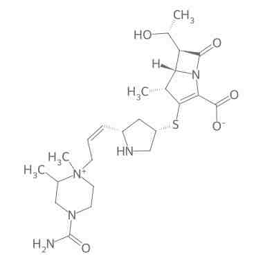 CC1CN(C(N)=O)CC[N+]1(C)C/C=C\[C@@H]1C[C@H](SC2=C(C(=O)[O-])N3C(=O)[C@H]([C@@H](C)O)[C@H]3[C@H]2C)CN1